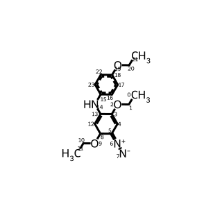 CCOC1=CC(=[N+]=[N-])C(OCC)C=C1Nc1ccc(OCC)cc1